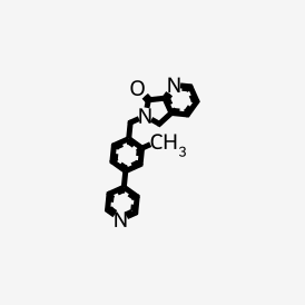 Cc1cc(-c2ccncc2)ccc1CN1Cc2cccnc2C1=O